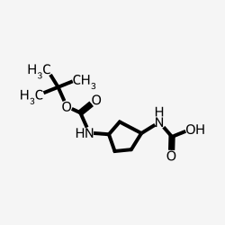 CC(C)(C)OC(=O)NC1CCC(NC(=O)O)C1